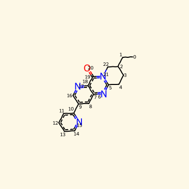 CCC1CCc2nc3cc(-c4ccccn4)cnc3c(=O)n2C1